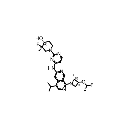 CC(C)c1cnc(N2C[C@H](OC(F)F)[C@H]2C)c2cnc(Nc3ccnc(N4CC[C@@H](O)[C@@](C)(F)C4)n3)cc12